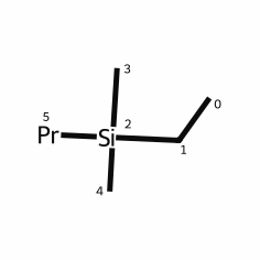 CC[Si](C)(C)[Pr]